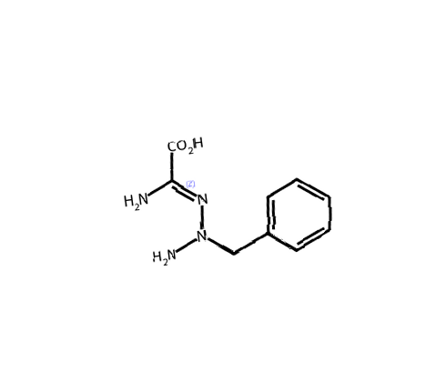 N/C(=N\N(N)Cc1ccccc1)C(=O)O